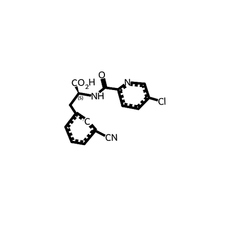 N#Cc1cccc(C[C@H](NC(=O)c2ccc(Cl)cn2)C(=O)O)c1